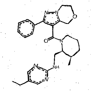 CCc1cnc(NC[C@@H]2[C@H](C)CCCN2C(=O)c2c(-c3ccccc3)nn3c2COCC3)nc1